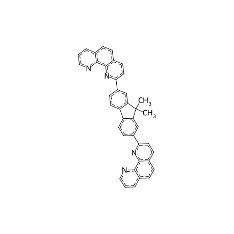 CC1(C)c2cc(-c3ccc4ccc5cccnc5c4n3)ccc2-c2ccc(-c3ccc4ccc5cccnc5c4n3)cc21